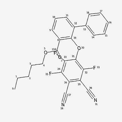 CCCCCOC(=O)c1cccc(-c2ccccc2)c1Oc1c(F)c(F)c(C#N)c(C#N)c1F